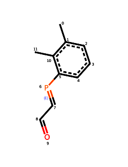 Cc1cccc(/P=C/C=O)c1C